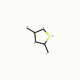 CC1[CH]C(C)SC1